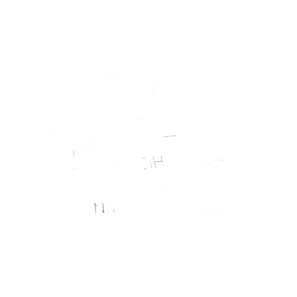 C1=CC([SiH](Cc2ccccc2)C2C=Cc3ccccc32)c2ccccc21.[Na]